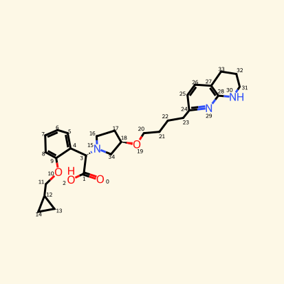 O=C(O)[C@H](c1ccccc1OCC1CC1)N1CC[C@@H](OCCCCc2ccc3c(n2)NCCC3)C1